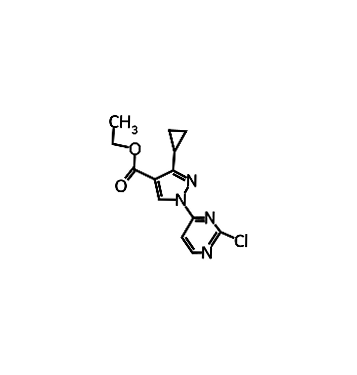 CCOC(=O)c1cn(-c2ccnc(Cl)n2)nc1C1CC1